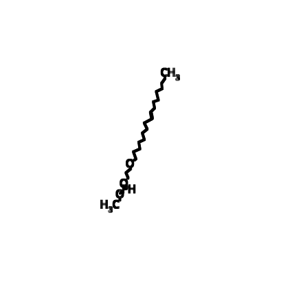 CCCCCCCCC=CCCCCCCCCOCCCOPOCC